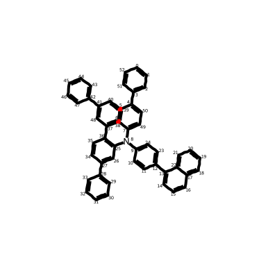 c1ccc(-c2ccc(N(c3ccc(-c4cccc5ccccc45)cc3)c3cc(-c4ccccc4)ccc3-c3cccc(-c4ccccc4)c3)cc2)cc1